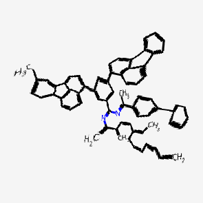 C=C/C=C\C=C/CC(/C=C\C(=C)C(=C)/N=C(\N=C(/C)c1ccc(-c2ccccc2)cc1)c1cc(-c2ccc3c4c(cccc24)-c2ccccc2-3)cc(-c2ccc3c4c(cccc24)-c2ccc(C)cc2-3)c1)=C/C